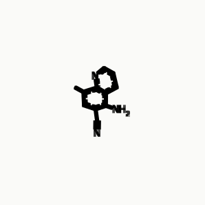 Cc1cc(C#N)c(N)c2cccnc12